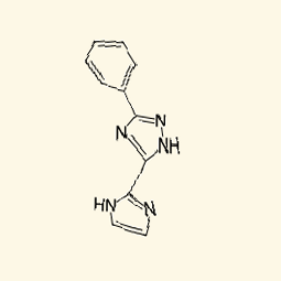 c1ccc(-c2n[nH]c(-c3ncc[nH]3)n2)cc1